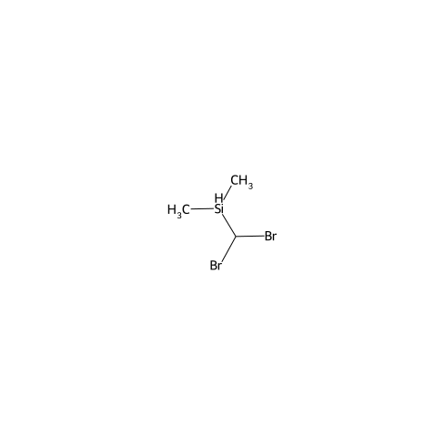 C[SiH](C)C(Br)Br